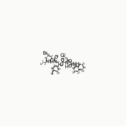 CCC[n+]1cc(Br)cc(C(=O)NCC(OC(=O)NC(C)OC(=O)Nc2cccc3ccccc23)c2ccc(I)cc2)c1.[Cl-]